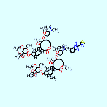 CC[C@H]1CCC[C@H](O[C@H]2CC[C@H](N(C)C)[C@@H](C)O2)[C@@H](C)C(=O)C2=C[C@@H]3[C@@H](C=C(C)[C@@H]4C[C@@H](O[C@@H]5O[C@@H](C)[C@H](OC)[C@@H](OC)[C@H]5OC)C[C@@H]34)[C@@H]2CC(=O)O1.CC[C@H]1CCC[C@H](O[C@H]2CC[C@H](N(C)C)[C@@H](C)O2)[C@@H](C)C(=O)C2=C[C@@H]3[C@@H](C=C[C@@H]4C[C@@H](O[C@@H]5O[C@@H](C)[C@H](OC)[C@@H](OC)[C@H]5OC)C[C@@H]34)[C@@H]2CC(=O)O1.c1ccc2[nH]c(-c3cscn3)nc2c1